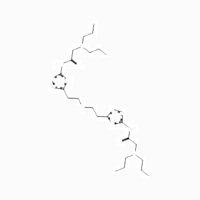 CCCN(CCC)CC(=O)Nc1nnc(CCSCCc2nnc(NC(=O)CN(CCC)CCC)s2)s1